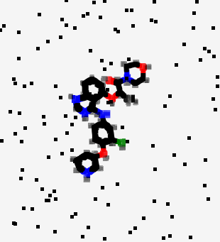 CC(Oc1cccc2ncnc(Nc3ccc(Oc4cccnc4)c(Cl)c3)c12)C(=O)N1CCOCC1